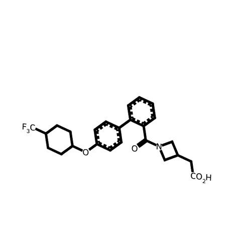 O=C(O)CC1CN(C(=O)c2ccccc2-c2ccc(OC3CCC(C(F)(F)F)CC3)cc2)C1